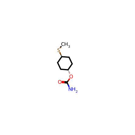 CS[C@H]1CC[C@H](OC(N)=O)CC1